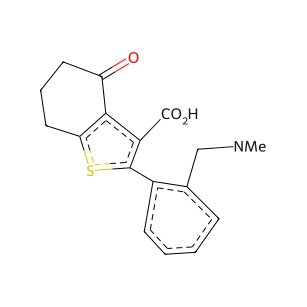 CNCc1ccccc1-c1sc2c(c1C(=O)O)C(=O)CCC2